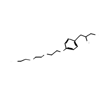 COCCOCCOCCOc1ccc(CC(N)CO)cc1